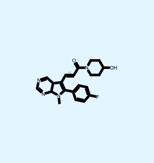 CN1C(c2ccc(F)cc2)=C(/C=C/C(=O)N2CCC(O)CC2)C2C=NC=NC21